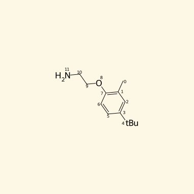 Cc1cc(C(C)(C)C)ccc1OCCN